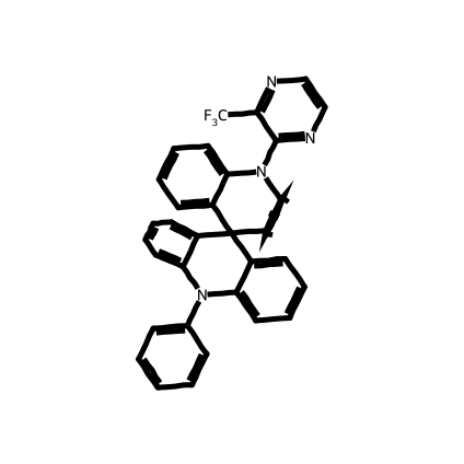 FC(F)(F)c1nccnc1N1c2ccccc2C2(c3ccccc3N(c3ccccc3)c3ccccc32)c2ccccc21